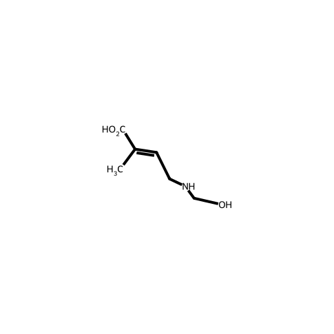 CC(=CCNCO)C(=O)O